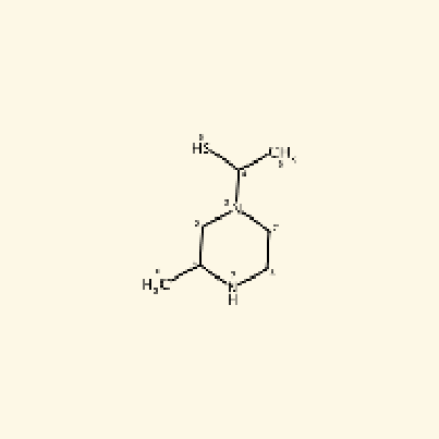 CC1CN(C(C)S)CCN1